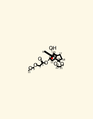 C=C1C[C@H](OC(=O)COCOC)C2CCCC3(CCC4(OCCO4)C23)C[C@@H]1O